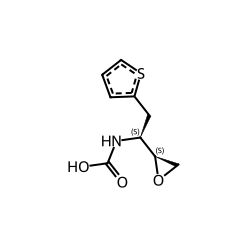 O=C(O)N[C@@H](Cc1cccs1)[C@H]1CO1